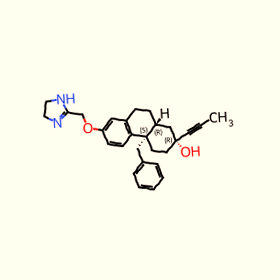 CC#C[C@@]1(O)CC[C@@]2(Cc3ccccc3)c3ccc(OCC4=NCCN4)cc3CC[C@@H]2C1